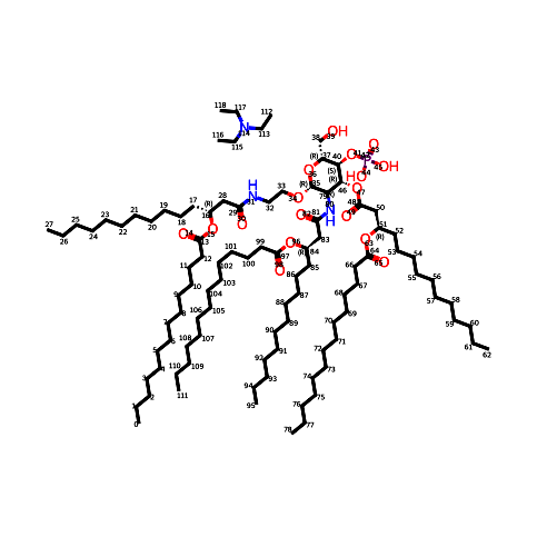 CCCCCCCCCCCCCC(=O)O[C@H](CCCCCCCCCCC)CC(=O)NCCO[C@@H]1O[C@H](CO)[C@@H](OP(=O)(O)O)[C@H](OC(=O)C[C@@H](CCCCCCCCCCC)OC(=O)CCCCCCCCCCCCC)[C@H]1NC(=O)C[C@@H](CCCCCCCCCCC)OC(=O)CCCCCCCCCCCCC.CCN(CC)CC